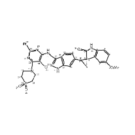 COc1ccc2c(c1)[C@]1(C[C@H]1c1ccc3c(Nc4nc(C(C)C)nc(N5CCS(=O)(=O)CC5)c4Cl)n[nH]c3c1)C(=O)N2